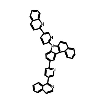 c1ccc2nc(-c3ccc(-n4c5ccc(-c6ccc(-c7nccc8ccccc78)cn6)cc5c5c6ccccc6ccc54)nc3)ccc2c1